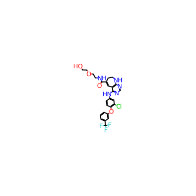 O=C(NCCOCCO)C1=Cc2c(ncnc2Nc2ccc(Oc3cccc(C(F)(F)F)c3)c(Cl)c2)NCC1